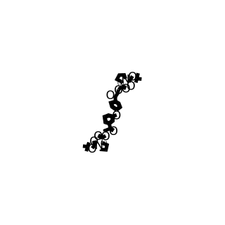 CC(C)(C)OC(=O)N1CCC[C@H]1C(=O)OCC(=O)c1ccc(Oc2cccc(C(=O)COC(=O)[C@@H]3CCCN3C(=O)OC(C)(C)C)c2)cc1